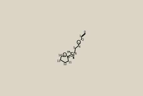 C=CCOCCC[Si](C)(C)C1CCCCO1